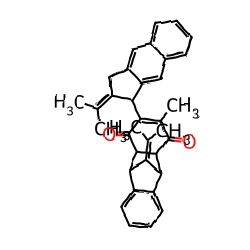 CC(C)=C1Cc2cc3ccccc3cc2C1C1=C(C)C(=O)C2C3C(=C(C)C)C(c4ccccc43)C2C1=O